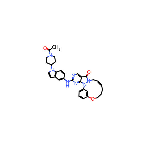 CC(=O)N1CCC(n2ccc3cc(Nc4ncc5c(=O)n6n(c5n4)-c4cccc(c4)OCCC/C=C\C6)ccc32)CC1